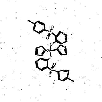 Cc1ccc(S(=O)(=O)c2ccccc2[O][Zr]([O]c2ccccc2S(=O)(=O)c2ccc(C)cc2)([C]2=CC=CC2)[C]2=CC=CC2)cc1